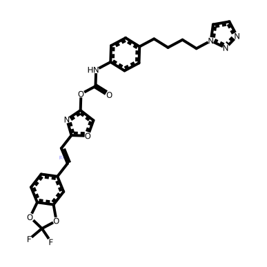 O=C(Nc1ccc(CCCCn2ccnn2)cc1)Oc1coc(/C=C/c2ccc3c(c2)OC(F)(F)O3)n1